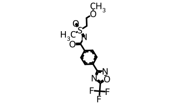 COCCS(C)(=O)=NC(=O)c1ccc(-c2noc(C(F)(F)F)n2)cc1